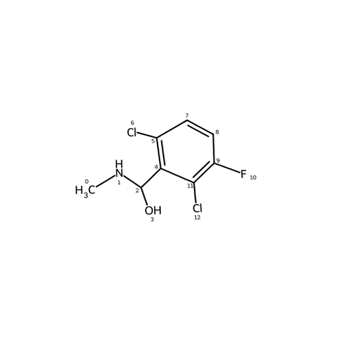 CNC(O)c1c(Cl)ccc(F)c1Cl